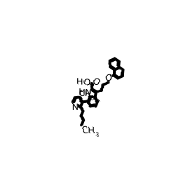 CCCCCc1nccc(C)c1-c1cccc2c(CCCOc3cccc4ccccc34)c(C(=O)O)[nH]c12